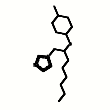 CCCCCCC(Cn1ccnc1)SC1CCC(C)CC1